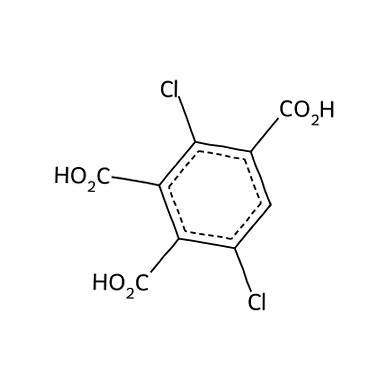 O=C(O)c1cc(Cl)c(C(=O)O)c(C(=O)O)c1Cl